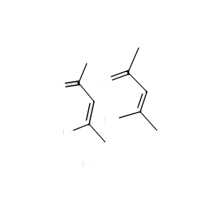 Br.CC(=O)/C=C(/C)O.CC(=O)/C=C(/C)O